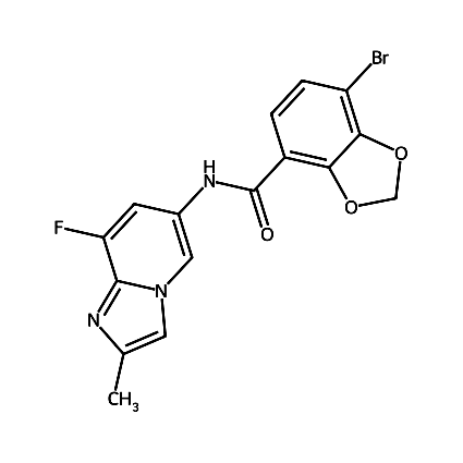 Cc1cn2cc(NC(=O)c3ccc(Br)c4c3OCO4)cc(F)c2n1